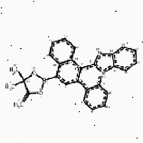 C=C1OB(c2cc3c4ccccc4n4c5ccccc5nc4c3c3ccccc23)OC1(C)C